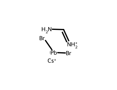 NC=[NH2+].[Br][Pb][Br].[Cs+]